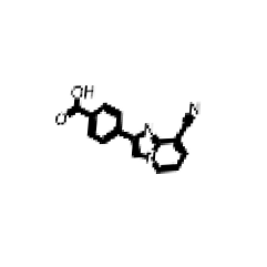 N#Cc1cccn2cc(-c3ccc(C(=O)O)cc3)nc12